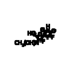 CN(O)[C@H]1[C@H](F)[C@H](n2cc(F)c(=O)[nH]c2=O)O[C@@H]1CO